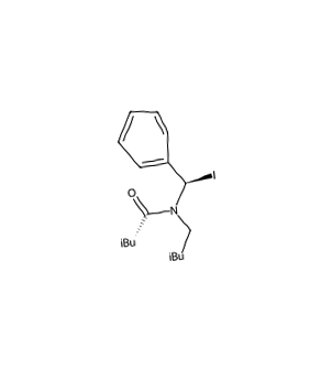 CCC(C)CN(C(=O)[C@@H](C)CC)[C@H](I)c1ccccc1